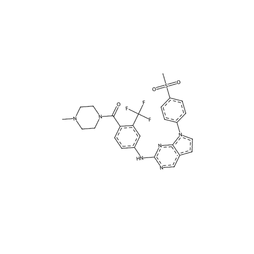 CN1CCN(C(=O)c2ccc(Nc3ncc4ccn(-c5ccc(S(C)(=O)=O)cc5)c4n3)cc2C(F)(F)F)CC1